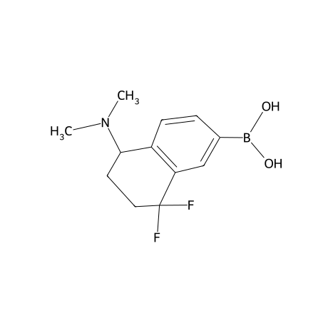 CN(C)C1CCC(F)(F)c2cc(B(O)O)ccc21